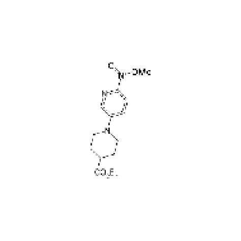 CCOC(=O)C1CCN(c2ccc([N+](=O)OC)nc2)CC1